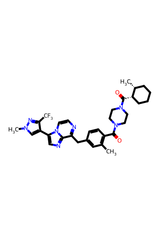 Cc1cc(Cc2nccn3c(-c4cn(C)nc4C(F)(F)F)cnc23)ccc1C(=O)N1CCN(C(=O)[C@H]2CCCC[C@H]2C)CC1